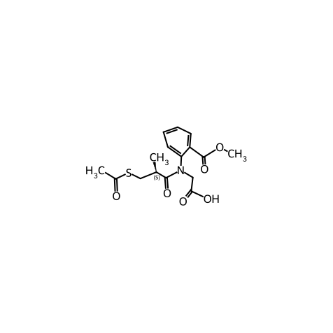 COC(=O)c1ccccc1N(CC(=O)O)C(=O)[C@H](C)CSC(C)=O